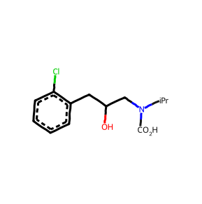 CC(C)N(CC(O)Cc1ccccc1Cl)C(=O)O